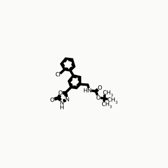 CC(C)(C)OC(=O)NCc1cc(-c2n[nH]c(=O)o2)cc(-c2ccccc2Cl)c1